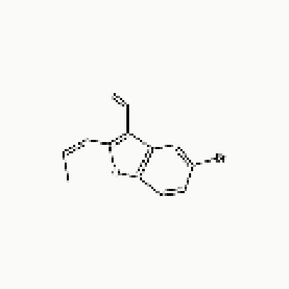 C=Cc1c(/C=C\C)oc2ccc(Br)cc12